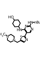 CCCCNc1ncc(-c2ncc(CN3CCN(C)CC3)s2)c(NC2CCC(O)CC2)n1